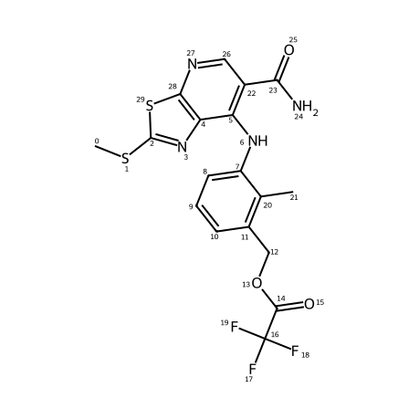 CSc1nc2c(Nc3cccc(COC(=O)C(F)(F)F)c3C)c(C(N)=O)cnc2s1